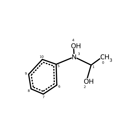 CC(O)N(O)c1ccccc1